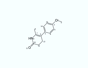 COc1ccc(C2=C(C)NC(=O)CC2)cc1